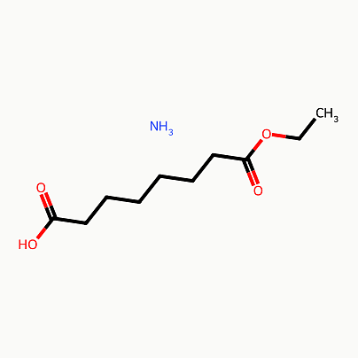 CCOC(=O)CCCCCCC(=O)O.N